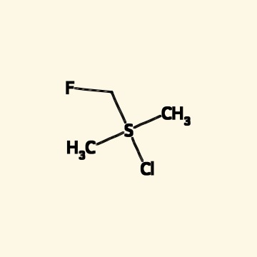 CS(C)(Cl)CF